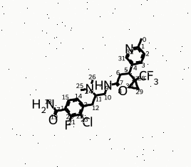 Cc1ccc(C(CC(=O)NCC(Cc2ccc(C(N)=O)c(F)c2Cl)N(C)C)C2(C(F)(F)F)CC2)cn1